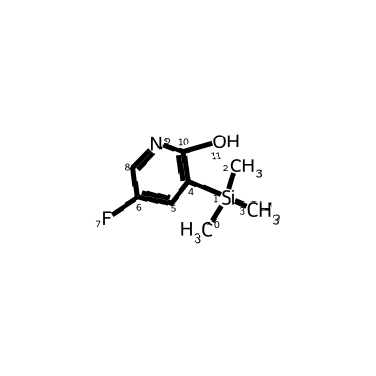 C[Si](C)(C)c1cc(F)cnc1O